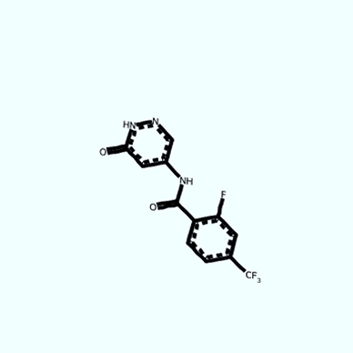 O=C(Nc1cn[nH]c(=O)c1)c1ccc(C(F)(F)F)cc1F